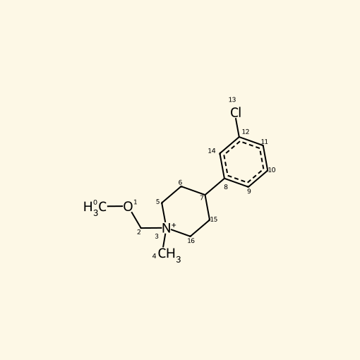 COC[N+]1(C)CCC(c2cccc(Cl)c2)CC1